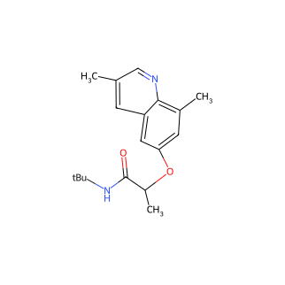 Cc1cnc2c(C)cc(OC(C)C(=O)NC(C)(C)C)cc2c1